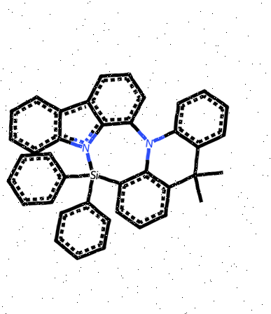 CC1(C)c2ccccc2N2c3c1cccc3[Si](c1ccccc1)(c1ccccc1)n1c3ccccc3c3cccc2c31